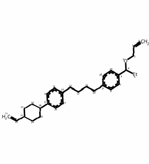 C=CCOC(CC)c1ccc(CCCCc2ccc(C3CCC(C=C)CC3)cc2)cc1